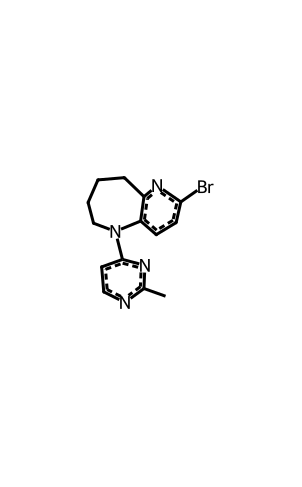 Cc1nccc(N2CCCCc3nc(Br)ccc32)n1